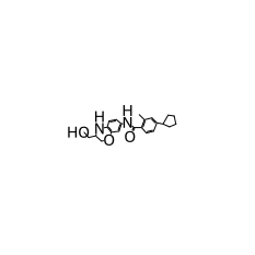 Cc1cc(C2CCCC2)ccc1C(=O)Nc1ccc2c(c1)OCC(CO)N2